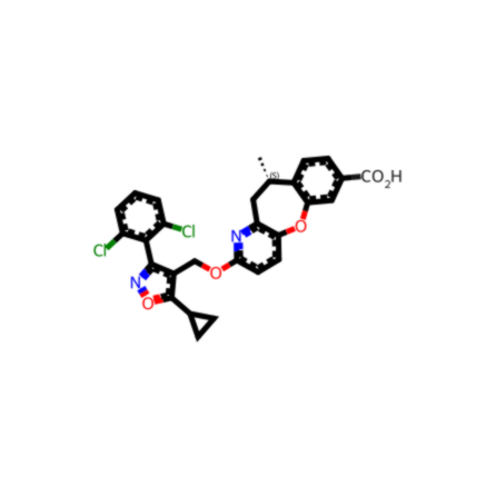 C[C@H]1Cc2nc(OCc3c(-c4c(Cl)cccc4Cl)noc3C3CC3)ccc2Oc2cc(C(=O)O)ccc21